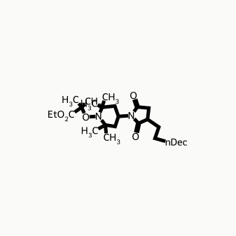 CCCCCCCCCCCCC1CC(=O)N(C2CC(C)(C)N(OC(C)(C)C(=O)OCC)C(C)(C)C2)C1=O